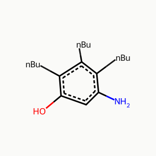 CCCCc1c(N)cc(O)c(CCCC)c1CCCC